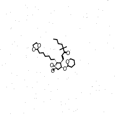 CCCCC(C)(C)C(=O)C=C[C@@H]1[C@@H](CCCCCCC2OCCO2)S(=O)(=O)C[C@H]1OC1CCCCO1